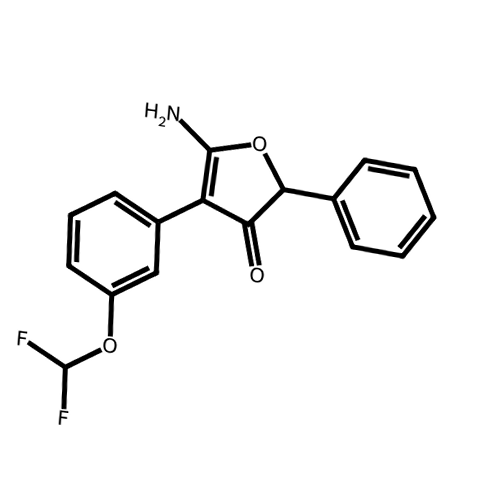 NC1=C(c2cccc(OC(F)F)c2)C(=O)C(c2ccccc2)O1